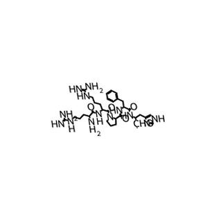 N=C(N)NCCCC(N)C(=O)NC(CCCNC(=N)N)C(=O)N1CCCC1C(=O)NC(Cc1ccccc1)C(=O)NC([C]=O)Cc1c[nH]cn1